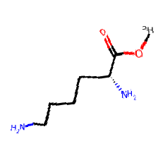 [2H]OC(=O)[C@H](N)CCCCN